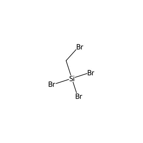 BrC[Si](Br)(Br)Br